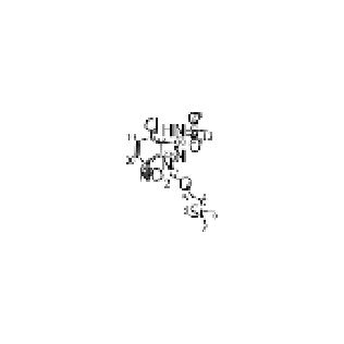 C[Si](C)(C)CCOCn1nc(NS(C)(=O)=O)c2c(Cl)ccc([N+](=O)[O-])c21